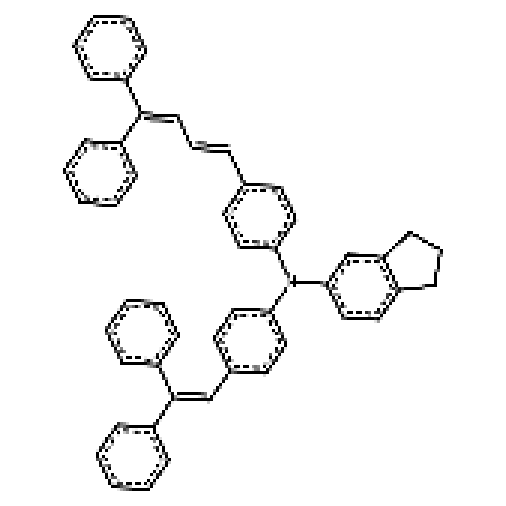 C(/C=C/c1ccc(N(c2ccc(C=C(c3ccccc3)c3ccccc3)cc2)c2ccc3c(c2)CCC3)cc1)=C(c1ccccc1)c1ccccc1